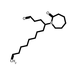 C=CCCCCCCCC(CCC=O)N1CCCCCC1=O